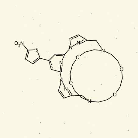 O=[N+]([O-])c1ccc(-c2cc3nc(c2)-n2ccc(n2)CN2CCOCCOCCN(CCOCCOCC2)Cc2ccn-3n2)s1